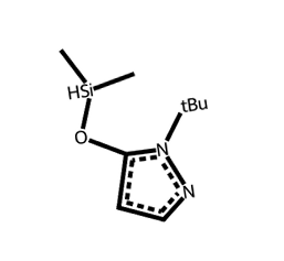 C[SiH](C)Oc1ccnn1C(C)(C)C